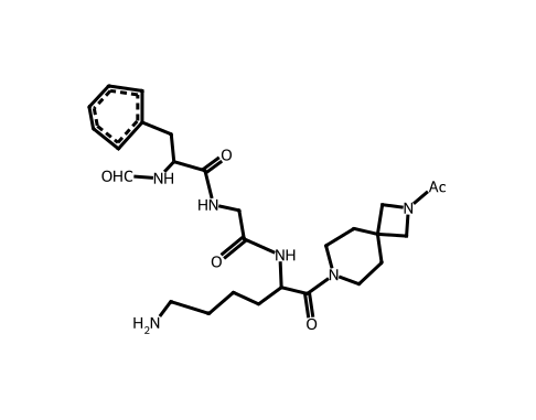 CC(=O)N1CC2(CCN(C(=O)C(CCCCN)NC(=O)CNC(=O)C(Cc3ccccc3)NC=O)CC2)C1